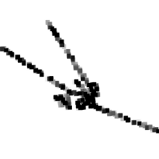 C=C[CH2][Ni][CH2]C=C.CCCCCCCCCCCCCCCCCCCCC=CCCc1ccccc1C1=C(C#CCCCCCCCCCCCCCCCCCCCCCCCCC)C(CCCC)=C(c2ccccc2CCC=CCCCCCCCCCCCCCCCCCCCC)[N+]1=[N-]